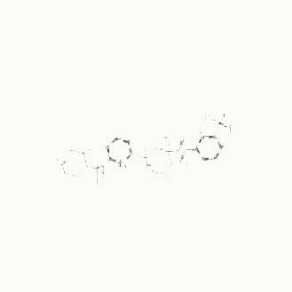 CC1(S(=O)(=O)c2cccc(C(F)(F)F)c2)CCOC(c2cccc(NC3CCOCC3)n2)C1